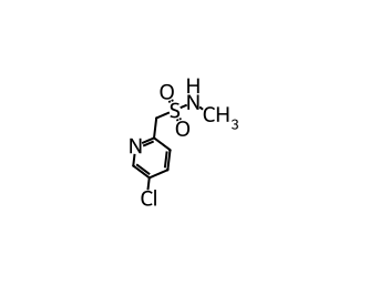 CNS(=O)(=O)Cc1ccc(Cl)cn1